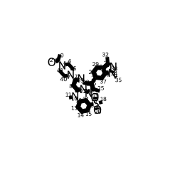 CC(=O)N1CCN(c2cc(N(C)c3cccc(S(C)(=O)=O)c3)n3nc(C)c(-c4ccc5c(C)nn(C)c5c4)c3n2)CC1